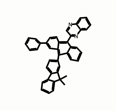 CC1(C)c2ccccc2-c2ccc(-c3c4ccccc4c(-c4cnc5ccccc5n4)c4ccc(-c5ccccc5)cc34)cc21